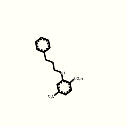 O=C(O)c1ccc([N+](=O)[O-])cc1NCCCc1ccccc1